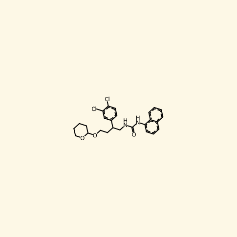 O=C(NCC(CCOC1CCCCO1)c1ccc(Cl)c(Cl)c1)Nc1cccc2ccccc12